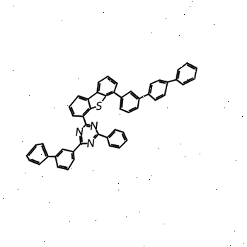 c1ccc(-c2ccc(-c3cccc(-c4cccc5c4sc4c(-c6nc(-c7ccccc7)nc(-c7cccc(-c8ccccc8)c7)n6)cccc45)c3)cc2)cc1